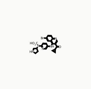 O=C(c1cnc2ccc(Br)cc2c1Nc1ccc(N(C(=O)O)C2CCNC2)nc1)C1CC1